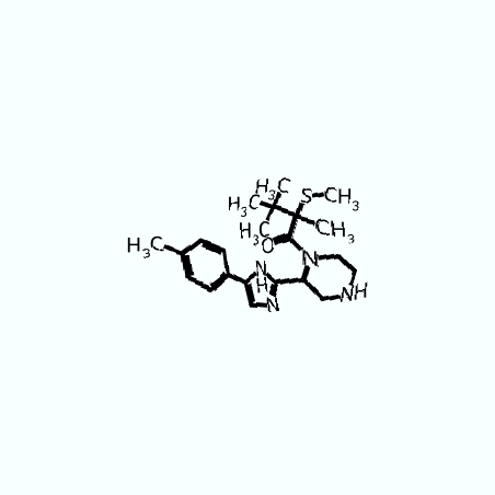 CSC(C)(C(=O)N1CCNCC1c1ncc(-c2ccc(C)cc2)[nH]1)C(C)(C)C